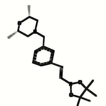 C[C@@H]1CN(Cc2cccc(C=CB3OC(C)(C)C(C)(C)O3)c2)C[C@H](C)O1